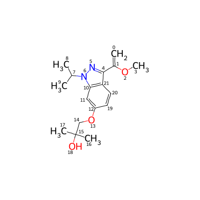 C=C(OC)c1nn(C(C)C)c2cc(OCC(C)(C)O)ccc12